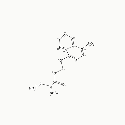 CC(=O)NC(CC(=O)O)C(=O)OCOc1ccc([N+](=O)[O-])c2cccnc12